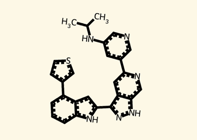 CC(C)Nc1cncc(-c2cc3c(-c4cc5c(-c6ccsc6)cccc5[nH]4)n[nH]c3cn2)c1